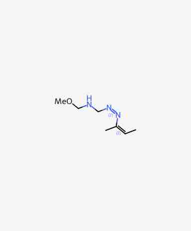 C/C=C(C)\N=N/CNCOC